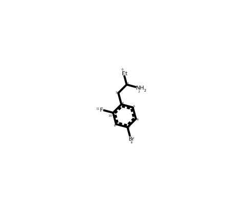 CCC(N)Cc1ccc(Br)cc1F